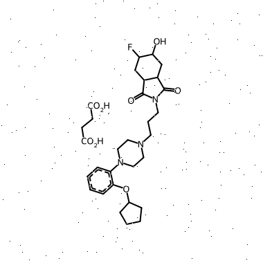 O=C(O)CCC(=O)O.O=C1C2CC(O)C(F)CC2C(=O)N1CCCN1CCN(c2ccccc2OC2CCCC2)CC1